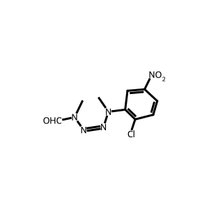 CN(C=O)/N=N\N(C)c1cc([N+](=O)[O-])ccc1Cl